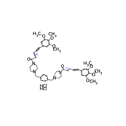 COc1cc(C#C/C=C/C(=O)N2CCN(Cc3ccc(CN4CCN(C(=O)/C=C/C#Cc5cc(OC)c(OC)c(OC)c5)CC4)cc3)CC2)cc(OC)c1OC.Cl.Cl